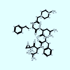 CC(C)CC(NC(=O)[C@H](CCc1ccccc1)NC(=O)CN1CCN(C)CC1)C(=O)N[C@@H](Cc1ccccc1)C(=O)NC(CC(C)C)C(=O)[C@@]1(C)CO1